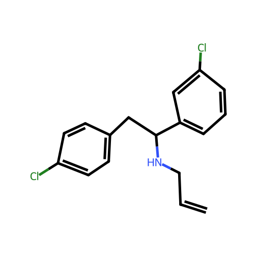 C=CCNC(Cc1ccc(Cl)cc1)c1cccc(Cl)c1